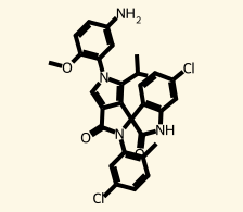 COc1ccc(N)cc1-n1cc2c(c1C(C)C)C1(C(=O)Nc3cc(Cl)ccc31)N(c1cc(Cl)ccc1C)C2=O